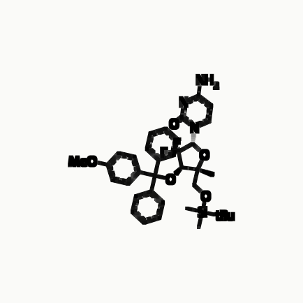 COc1ccc(C(O[C@H]2C(F)(F)[C@H](n3ccc(N)nc3=O)O[C@]2(C)CO[Si](C)(C)C(C)(C)C)(c2ccccc2)c2ccccc2)cc1